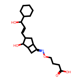 O=C(O)CCCON=C1CC2C1CC(C=CC(O)C1CCCCC1)C2O